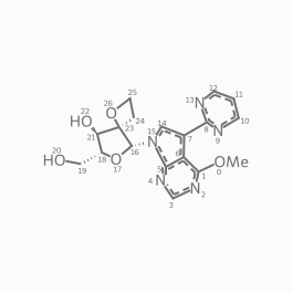 COc1ncnc2c1c(-c1ncccn1)cn2[C@@H]1O[C@H](CO)[C@@H](O)[C@]12CCO2